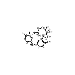 Cc1ccc(Nc2ccc(F)c(C3(C)N=C(N)COC(C)(C)C3(F)F)c2)cn1